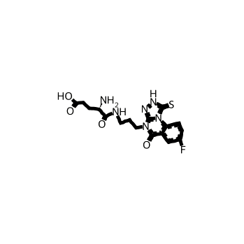 N[C@@H](CCC(=O)O)C(=O)NCCCn1c(=O)c2cc(F)ccc2n2c(=S)[nH]nc12